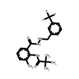 Cc1cccc(C(=O)NNCc2cccc(C(F)(F)F)c2)c1NC(=O)C(C)(C)C